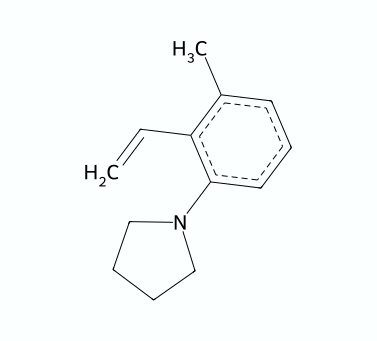 C=Cc1c(C)cccc1N1CCCC1